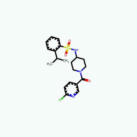 CC(C)c1ccccc1S(=O)(=O)NC1CCN(C(=O)c2ccc(Cl)nc2)CC1